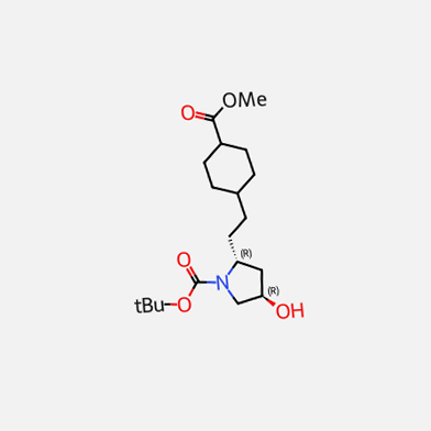 COC(=O)C1CCC(CC[C@@H]2C[C@@H](O)CN2C(=O)OC(C)(C)C)CC1